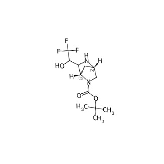 CC(C)(C)OC(=O)N1C[C@@H]2C[C@H]1C(C(O)C(F)(F)F)N2